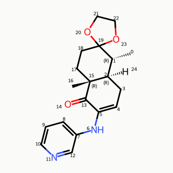 C[C@@H]1[C@H]2CC=C(Nc3cccnc3)C(=O)[C@]2(C)CCC12OCCO2